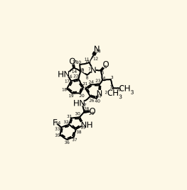 CC(C)CC(C(=O)N1C[C@]2(C[C@H]1C#N)C(=O)Nc1ccccc12)c1ccc(NC(=O)c2cc3c(F)cccc3[nH]2)cn1